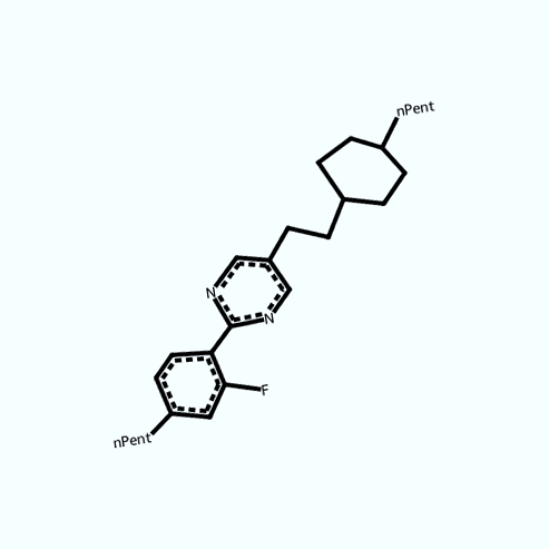 CCCCCc1ccc(-c2ncc(CCC3CCC(CCCCC)CC3)cn2)c(F)c1